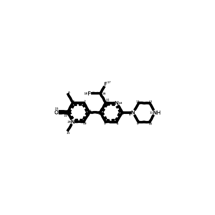 Cc1cc(-c2ccc(N3CCNCC3)nc2C(F)F)cn(C)c1=O